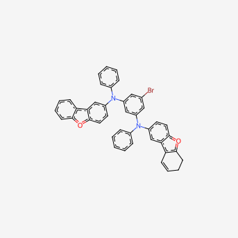 Brc1cc(N(c2ccccc2)c2ccc3oc4c(c3c2)C=CCC4)cc(N(c2ccccc2)c2ccc3oc4ccccc4c3c2)c1